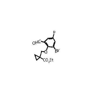 CCOC(=O)C1(COc2c(Br)cc(F)cc2C=O)CC1